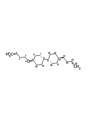 C=CCCO[C@H]1CC[C@H]([C@H]2CC[C@H](CCC=C)CC2)CC1